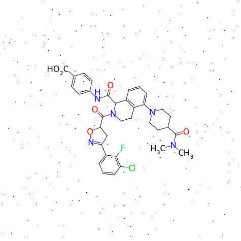 CN(C)C(=O)C1CCN(c2cccc3c2CCN(C(=O)C2CC(c4cccc(Cl)c4F)=NO2)C3C(=O)Nc2ccc(C(=O)O)cc2)CC1